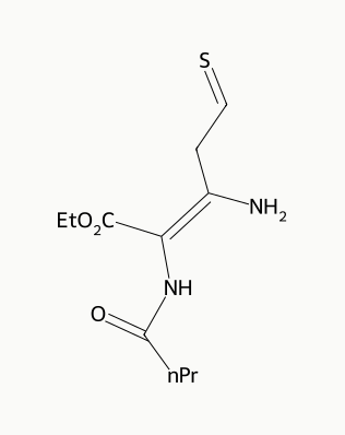 CCCC(=O)N/C(C(=O)OCC)=C(\N)CC=S